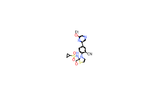 CCOc1cncc(-c2ccc(N3C=CSC3(C[O])NS(=O)(=O)C3CC3)c(C#N)c2)n1